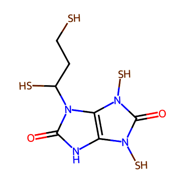 O=c1n(S)c2[nH]c(=O)n(C(S)CCS)c2n1S